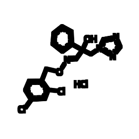 Cl.OC(C=NOCc1ccc(Cl)cc1Cl)(Cn1cncn1)c1ccccc1